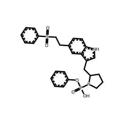 O=P(O)(Oc1ccccc1)N1CCCC1Cc1c[nH]c2ccc(CCS(=O)(=O)c3ccccc3)cc12